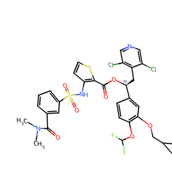 CN(C)C(=O)c1cccc(S(=O)(=O)Nc2ccsc2C(=O)O[C@@H](Cc2c(Cl)cncc2Cl)c2ccc(OC(F)F)c(OCC3CC3)c2)c1